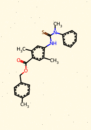 Cc1ccc(COC(=O)c2cc(C)c(NC(=S)N(C)c3ccccc3)cc2C)cc1